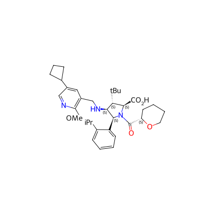 COc1ncc(C2CCC2)cc1CN[C@H]1[C@H](C(C)(C)C)[C@@H](C(=O)O)N(C(=O)[C@@H]2CCCCO2)[C@H]1c1ccccc1C(C)C